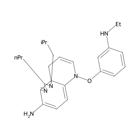 CCCC1N=C2C(N)=CC=C3N(Oc4cccc(NCC)c4)C=CCC32N1CC(C)C